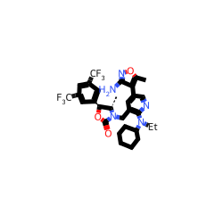 CCN(c1ncc(-c2c(N)noc2C)cc1CN1C(=O)O[C@H](c2cc(C(F)(F)F)cc(C(F)(F)F)c2)[C@@H]1C)C1CCCCC1